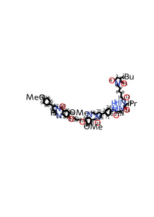 CCC(C)C1CC(=O)N(CCCCCC(=O)NC(C(=O)N[C@@H](C)C(=O)Nc2ccc(C3=CN4C(=O)c5cc(OC)c(OCCCOc6cc7c(cc6OC)C(=O)N6C=C(c8ccc(OC)cc8)C[C@H]6C=N7)cc5N=CC4C3)cc2)C(C)C)C1=O